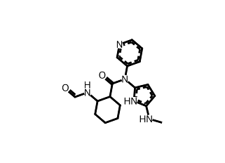 CNc1ccc(N(C(=O)C2CCCCC2NC=O)c2cccnc2)[nH]1